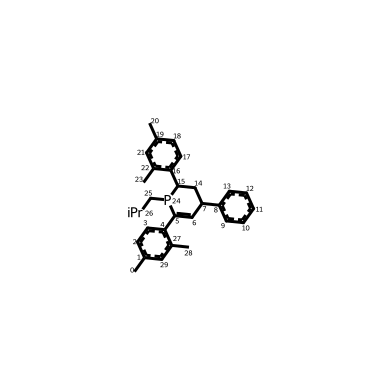 Cc1ccc(C2=CC(c3ccccc3)CC(c3ccc(C)cc3C)P2CC(C)C)c(C)c1